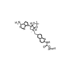 CCCCCOC(=O)Nc1ccc2cc(CC[C@@]3(C)C[C@@H](n4ccc5c(N)ncnc54)[C@@H]4OC(C)(C)O[C@@H]43)ccc2n1